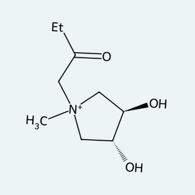 CCC(=O)C[N+]1(C)C[C@@H](O)[C@H](O)C1